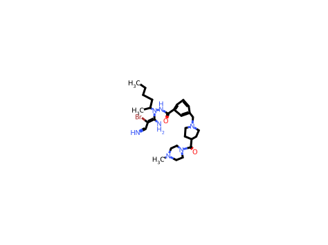 CCCCC(C)N(NC(=O)c1cccc(CN2CCC(C(=O)N3CCN(C)CC3)CC2)c1)/C(N)=C(\Br)C=N